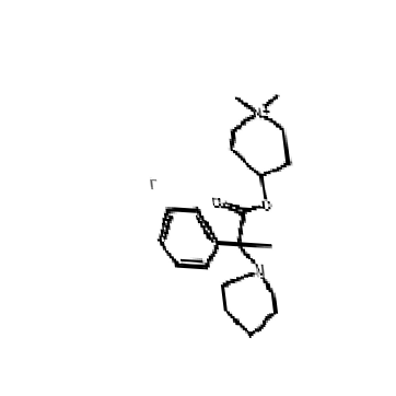 CC(C(=O)OC1CC[N+](C)(C)CC1)(c1ccccc1)N1CCCCC1.[I-]